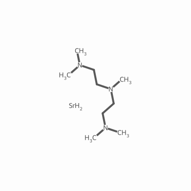 CN(C)CCN(C)CCN(C)C.[SrH2]